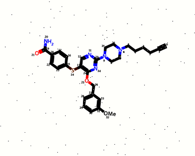 C#CCCCCN1CCN(c2ncc(Sc3ccc(C(N)=O)cc3)c(OCc3cccc(OC)c3)n2)CC1